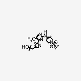 C[C@@H]1CN(S(=O)(=O)N(C)C)CC[C@@H]1Nc1ncc(C(F)(F)F)c(-c2ncc(CC(C)(C)O)s2)n1